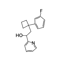 OC(CC1(c2cccc(F)c2)CCC1)c1ccccn1